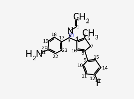 C=C/N=C(\C1=C(C)CC(c2ccc(F)cc2)=C1)c1ccc(N)cc1